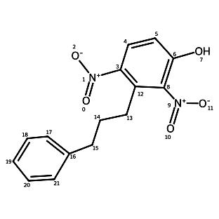 O=[N+]([O-])c1ccc(O)c([N+](=O)[O-])c1CCCc1ccccc1